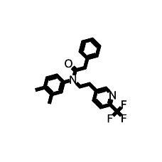 Cc1ccc(N(CCc2ccc(C(F)(F)F)nc2)C(=O)Cc2ccccc2)cc1C